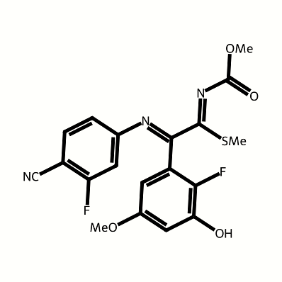 COC(=O)/N=C(SC)/C(=N/c1ccc(C#N)c(F)c1)c1cc(OC)cc(O)c1F